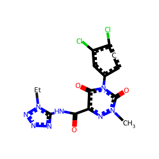 CCn1nnnc1NC(=O)c1nn(C)c(=O)n(-c2ccc(Cl)c(Cl)c2)c1=O